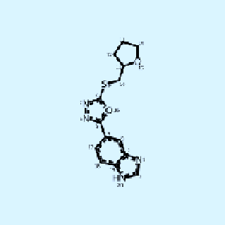 c1nc2cc(-c3nnc(SCC4CCCO4)o3)ccc2[nH]1